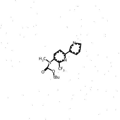 CN(C(=O)OC(C)(C)C)c1ccc(-c2cccnc2)nc1C(F)(F)F